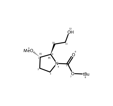 CO[C@H]1CCN(C(=O)OC(C)(C)C)[C@@H]1CCO